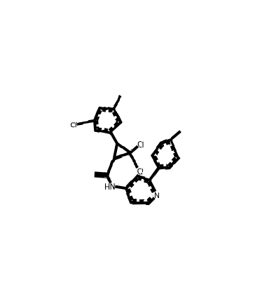 C=C(Nc1ccnc(-c2ccc(C)cc2)c1)C1C(c2cc(C)cc(Cl)c2)C1(Cl)Cl